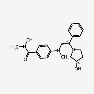 CN(C)C(=O)c1ccc(N(C)C[C@@H](c2ccccc2)N2CC[C@H](O)C2)cc1